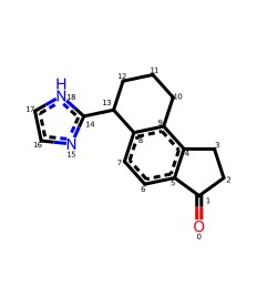 O=C1CCc2c1ccc1c2CCCC1c1ncc[nH]1